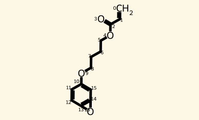 C=CC(=O)OCCCCOc1ccc2c(c1)O2